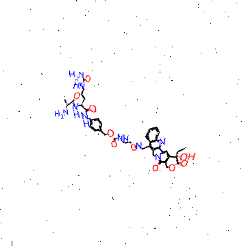 CC[C@@]1(O)C(=O)OCc2c1cc1n(c2=O)Cc2c-1nc1ccccc1c2/C=N/OCCNC(=O)OCc1ccc(NC(=O)[C@H](CCCNC(N)=O)NC(=O)[C@H](C)N)cc1